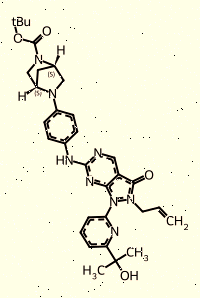 C=CCn1c(=O)c2cnc(Nc3ccc(N4C[C@@H]5C[C@H]4CN5C(=O)OC(C)(C)C)cc3)nc2n1-c1cccc(C(C)(C)O)n1